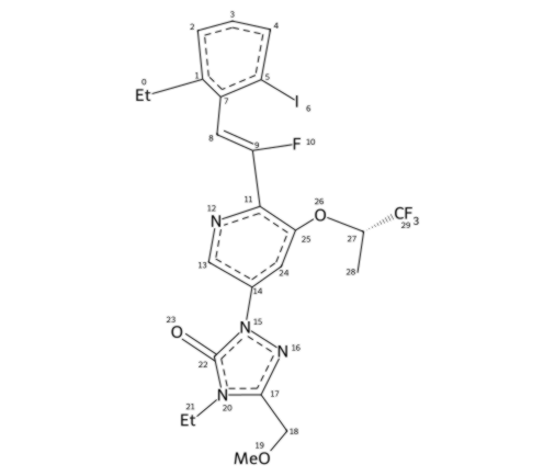 CCc1cccc(I)c1/C=C(\F)c1ncc(-n2nc(COC)n(CC)c2=O)cc1O[C@@H](C)C(F)(F)F